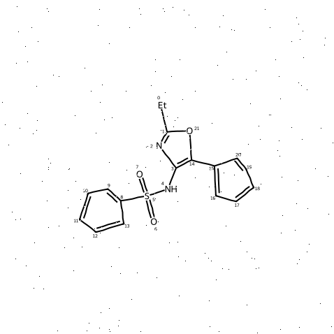 CCc1nc(NS(=O)(=O)c2ccccc2)c(-c2ccccc2)o1